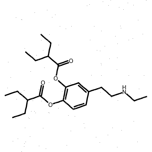 CCNCCc1ccc(OC(=O)C(CC)CC)c(OC(=O)C(CC)CC)c1